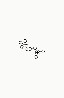 c1ccc(-c2cc(-c3cccc(-c4ccc5oc6cc7c(cc6c5c4)-c4ccccc4C7(c4ccccc4)c4ccccc4)c3)nc(-c3ccccc3)n2)cc1